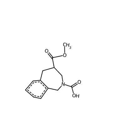 COC(=O)C1Cc2ccccc2CN(C(=O)O)C1